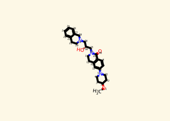 COC1CCN(c2ccc3c(c2)CCN(C[C@H](O)CN2CCc4ccccc4C2)C3=O)CC1